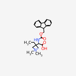 CCC1([C@@H](NC(=O)OCC2c3ccccc3-c3ccccc32)C(=O)O)C[N+](C)(C)C1